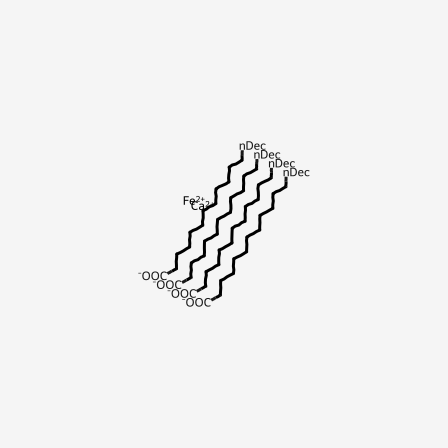 CCCCCCCCCCCCCCCCCCCCCC(=O)[O-].CCCCCCCCCCCCCCCCCCCCCC(=O)[O-].CCCCCCCCCCCCCCCCCCCCCC(=O)[O-].CCCCCCCCCCCCCCCCCCCCCC(=O)[O-].[Ca+2].[Fe+2]